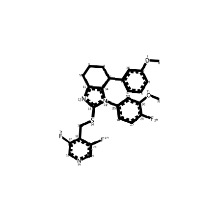 COc1cccc(C2CCCc3nc(SCc4c(F)cncc4F)n(-c4ccc(F)c(OC)c4)c32)c1